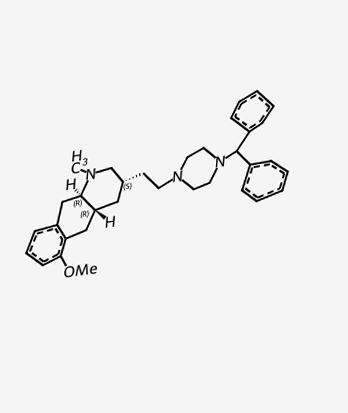 COc1cccc2c1C[C@H]1C[C@@H](CCN3CCN(C(c4ccccc4)c4ccccc4)CC3)CN(C)[C@@H]1C2